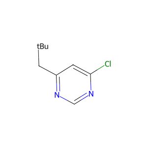 CC(C)(C)Cc1cc(Cl)ncn1